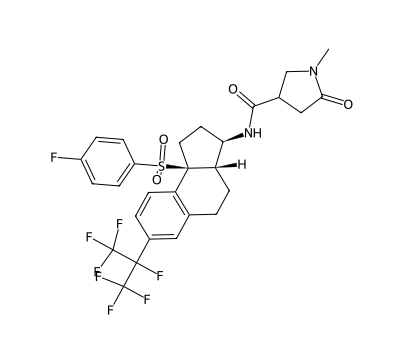 CN1CC(C(=O)N[C@@H]2CC[C@@]3(S(=O)(=O)c4ccc(F)cc4)c4ccc(C(F)(C(F)(F)F)C(F)(F)F)cc4CC[C@@H]23)CC1=O